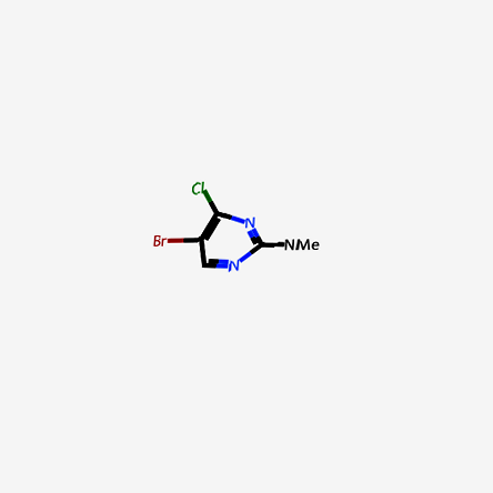 CNc1ncc(Br)c(Cl)n1